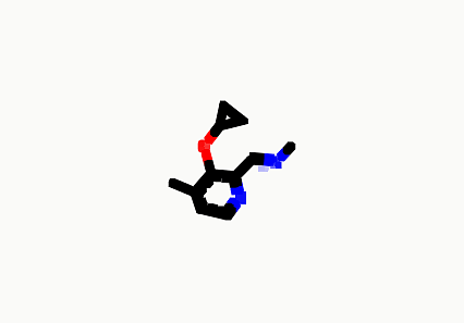 C/N=C/c1nccc(C)c1OC1CC1